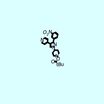 CC(C)(C)C(=O)ON1CCC(n2cc(-c3ccncc3)c(-c3cccc([N+](=O)[O-])c3)n2)CC1